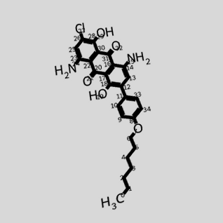 CCCCCCCOc1ccc(-c2cc(N)c3c(c2O)C(=O)c2c(N)cc(Cl)c(O)c2C3=O)cc1